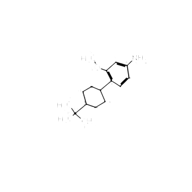 COc1cc(N)ccc1C1CCC(C(C)(C)C)CC1